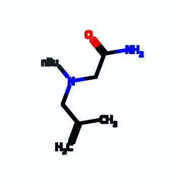 C=C(C)CN(CCCC)CC(N)=O